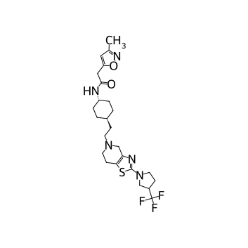 Cc1cc(CC(=O)N[C@H]2CC[C@H](CCN3CCc4sc(N5CCC(C(F)(F)F)C5)nc4C3)CC2)on1